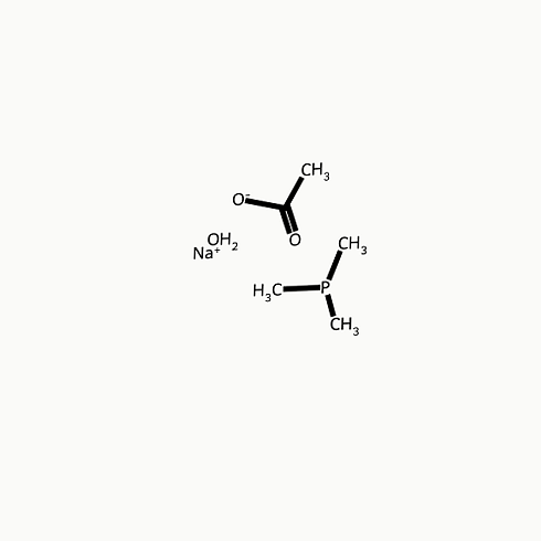 CC(=O)[O-].CP(C)C.O.[Na+]